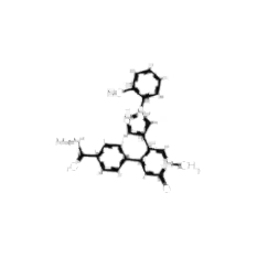 CNC(=O)c1ccc(-c2cc(=O)n(C)cc2-c2cnn(-c3ccccc3C#N)c2)cc1